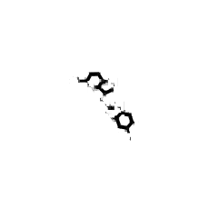 Clc1ccc2[nH]cc(Nc3nc4cc(I)ccc4[nH]3)c2n1